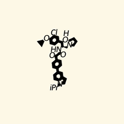 CC(C)n1ccc2cc(-c3ccc(C(=O)C(=O)N[C@H](CN4CCCC4)[C@H](O)c4ccc(OC5CC5)c(Cl)c4)cc3)ccc21